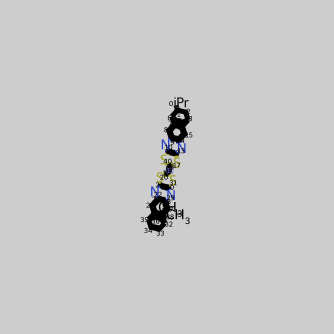 CC(C)C1CC2C=CC1c1cc3nc4c(nc3cc12)S/C(=C1/Sc2nc3cc5c(cc3nc2S1)C1C=CC5CC1(C)C)S4